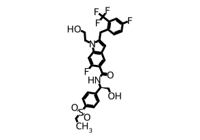 CCS(=O)(=O)c1ccc([C@H](CO)NC(=O)c2cc3cc(Cc4ccc(F)cc4C(F)(F)F)n(CCO)c3cc2F)cc1